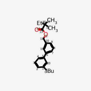 CCC(C)c1cccc(-c2cccc(COC(=O)C(C)(C)CC)c2)c1